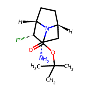 CC(C)(C)OC(=O)N1[C@@H]2CC[C@H]1[C@@H](F)[C@@H](N)C2